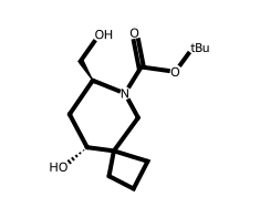 CC(C)(C)OC(=O)N1CC2(CCC2)[C@H](O)C[C@H]1CO